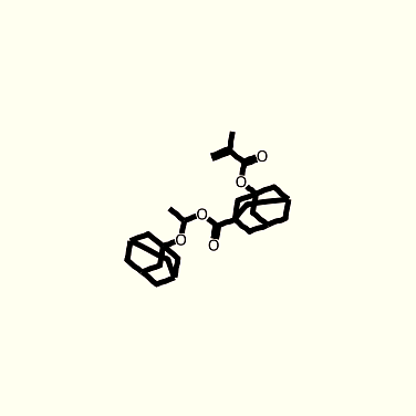 C=C(C)C(=O)OC12CC3CC(C1)CC(C(=O)OC(C)OC14CC5CC(CC(C5)C1)C4)(C3)C2